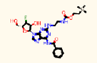 C[Si](C)(C)CCOC(=O)NCCNc1nc(NC(=O)c2ccccc2)c2ncn([C@@H]3O[C@H](CO)C(F)[C@H]3O)c2n1